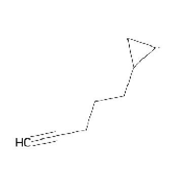 C#CCCCC1[CH]C1